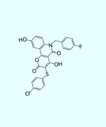 O=c1oc2c(c(O)c1Sc1ccc(Cl)cc1)c(=O)n(Cc1ccc(F)cc1)c1ccc(O)cc21